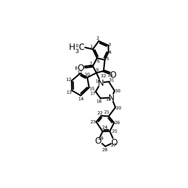 Cc1cccc2c1C(=O)C(c1ccccc1)(N1CCN(Cc3ccc4c(c3)OCO4)CC1)C2=O